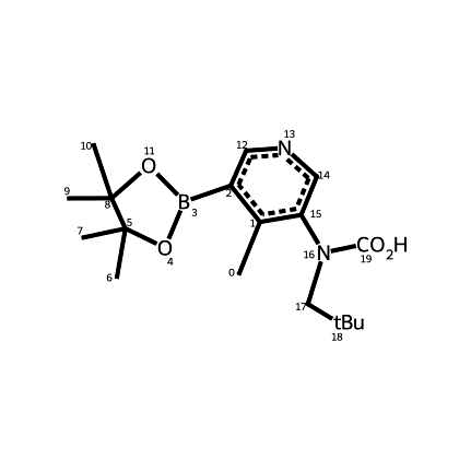 Cc1c(B2OC(C)(C)C(C)(C)O2)cncc1N(CC(C)(C)C)C(=O)O